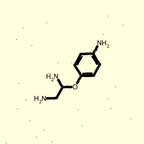 NCC(N)Oc1ccc(N)cc1